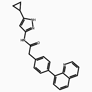 O=C(Cc1ccc(-c2cccc3cccnc23)cc1)Nc1cc(C2CC2)[nH]n1